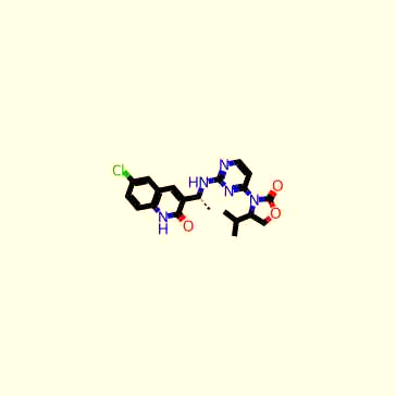 CC(C)C1COC(=O)N1c1ccnc(N[C@H](C)c2cc3cc(Cl)ccc3[nH]c2=O)n1